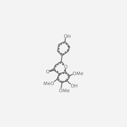 COc1c(O)c(OC)c2oc(-c3ccc(O)cc3)cc(=O)c2c1OC